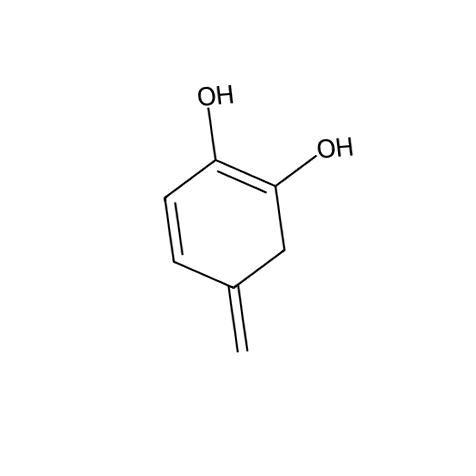 C=C1C=CC(O)=C(O)C1